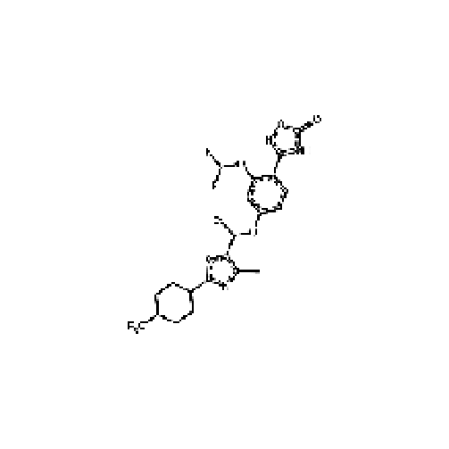 CCC(Oc1ccc(-c2noc(=O)[nH]2)c(OC(F)F)c1)c1sc(C2CCC(C(F)(F)F)CC2)nc1C